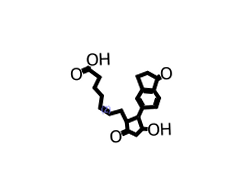 O=C(O)CCC/C=C\CC1C(=O)CC(O)C1c1ccc2c(c1)CCC2=O